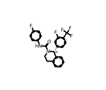 O=C(Nc1ccc(F)cc1)N1CCc2ccccc2[C@H]1c1ccc(C(F)(F)F)c(F)c1